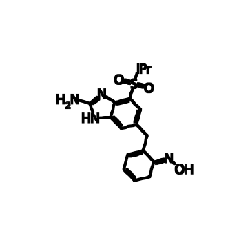 CC(C)S(=O)(=O)c1cc(CC2=CC=CCC2=NO)cc2[nH]c(N)nc12